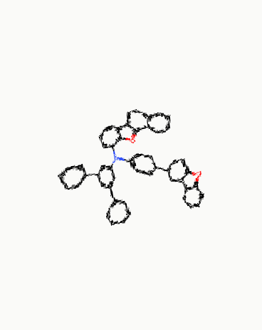 c1ccc(-c2cc(-c3ccccc3)cc(N(c3ccc(-c4ccc5oc6ccccc6c5c4)cc3)c3cccc4c3oc3c5ccccc5ccc43)c2)cc1